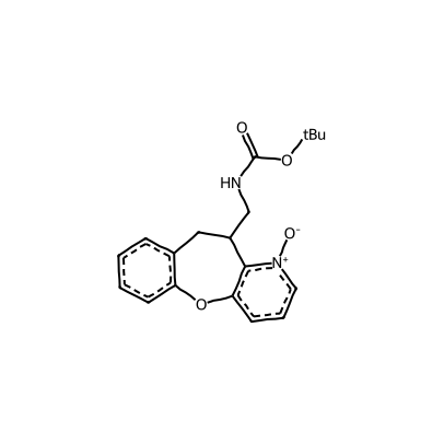 CC(C)(C)OC(=O)NCC1Cc2ccccc2Oc2ccc[n+]([O-])c21